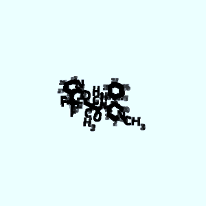 CN1CC[C@@H](NC(=O)C(C)(C)COc2ncccc2C(F)(F)F)[C@H](c2ccccc2)C1